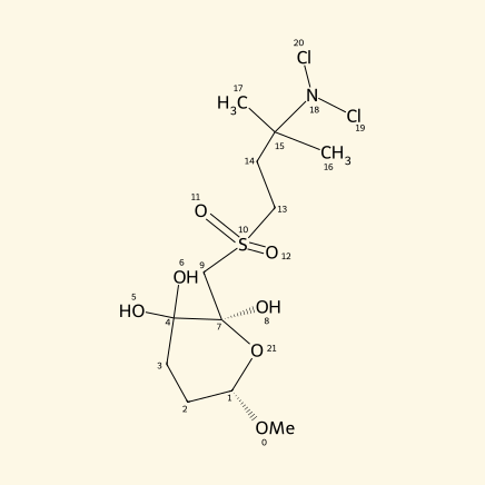 CO[C@@H]1CCC(O)(O)[C@@](O)(CS(=O)(=O)CCC(C)(C)N(Cl)Cl)O1